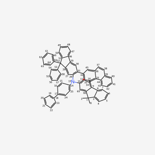 CC1(C)c2ccccc2-c2ccc(N(c3ccc(-c4ccccc4)cc3)c3cc4c(cc3-c3ccc5c(ccc6ccccc65)c3)-c3ccccc3C4(c3ccccc3)c3ccccc3)cc21